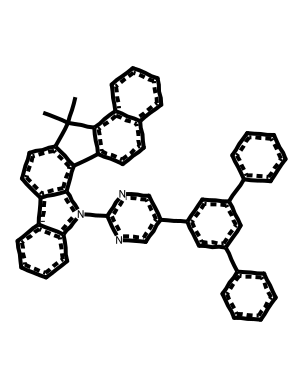 CC1(C)c2ccc3c4ccccc4n(-c4ncc(-c5cc(-c6ccccc6)cc(-c6ccccc6)c5)cn4)c3c2-c2ccc3ccccc3c21